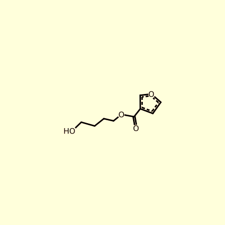 O=C(OCCCCO)c1ccoc1